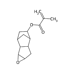 C=C(C)C(=O)OC1CC2CC1C1CC3OC3C21